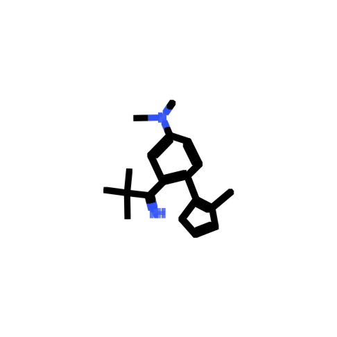 CC1=C(c2ccc(N(C)C)cc2C(=N)C(C)(C)C)CC=C1